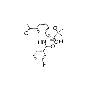 CC(=O)c1ccc2c(c1)[C@@H](NC(=O)c1cccc(F)c1)[C@H](O)C(C)(C)O2